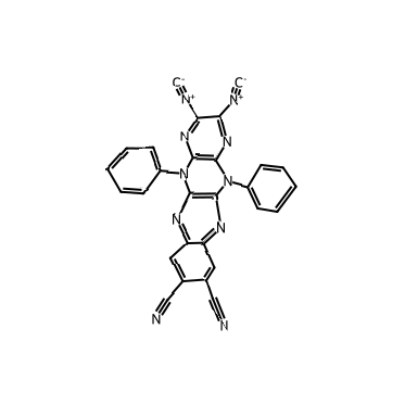 [C-]#[N+]c1nc2c(nc1[N+]#[C-])N(c1ccccc1)c1nc3cc(C#N)c(C#N)cc3nc1N2c1ccccc1